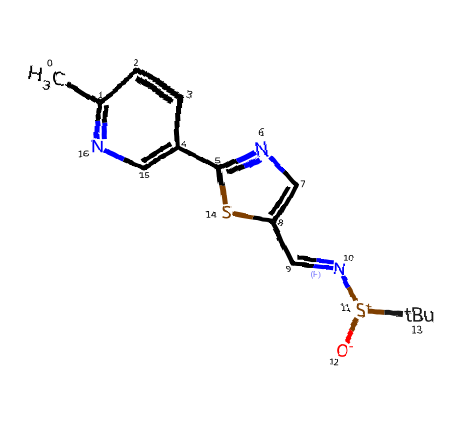 Cc1ccc(-c2ncc(/C=N/[S+]([O-])C(C)(C)C)s2)cn1